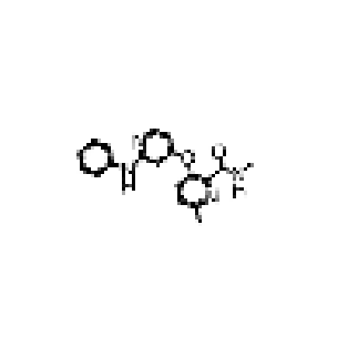 CNC(=O)c1nc(C)ccc1Oc1ccnc(Nc2ccccc2)c1